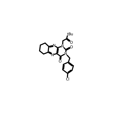 CC(C)(C)C(=O)Cn1c(=O)n(Cc2ccc(Cl)cc2)c(=O)c2nc3c(nc21)CCCC3